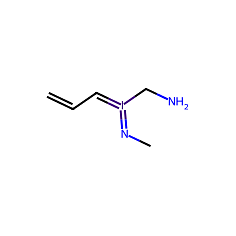 C=C/C=I(/CN)=NC